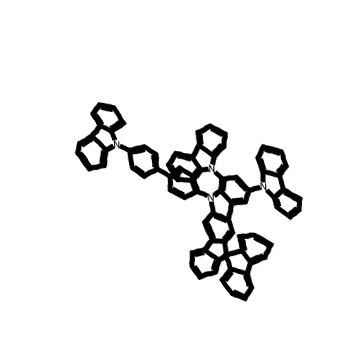 c1ccc2c(c1)-c1ccccc1C21c2ccccc2-c2cc3c(cc21)c1cc(-n2c4ccccc4c4ccccc42)cc(-n2c4ccccc4c4ccccc42)c1n3-c1ccc(-c2ccc(-n3c4ccccc4c4ccccc43)cc2)cc1